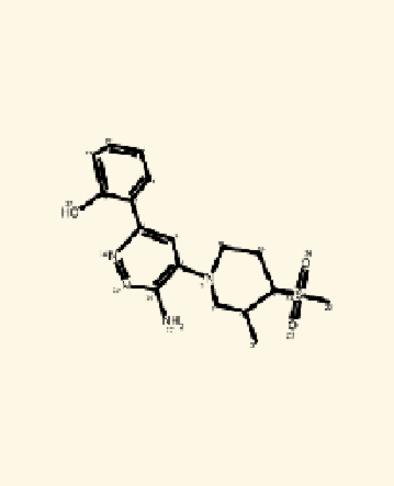 CC1CN(c2cc(-c3ccccc3O)nnc2N)CCC1S(C)(=O)=O